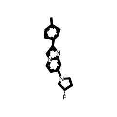 Cc1ccc(-c2cn3ccc(N4CC[C@H](F)C4)cc3n2)cc1